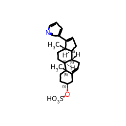 C[C@]12CC[C@H](OS(=O)(=O)O)CC1=CC[C@@H]1[C@@H]2CC[C@]2(C)C(c3cccnc3)=CC[C@@H]12